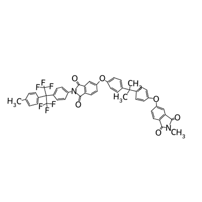 Cc1ccc(C(c2ccc(N3C(=O)c4ccc(Oc5ccc(C(C)(C)c6ccc(Oc7ccc8c(c7)C(=O)N(C)C8=O)cc6)cc5)cc4C3=O)cc2)(C(F)(F)F)C(F)(F)F)cc1